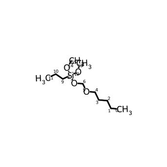 CCCCCOCO[Si](CCC)(OC)OC